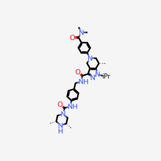 CC(C)n1nc(C(=O)NCc2ccc(NC(=O)N3C[C@@H](C)N[C@@H](C)C3)cc2)c2c1[C@@H](C)CN(c1ccc(C(=O)N(C)C)cc1)C2